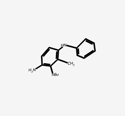 CCCCc1c(N)ccc(Nc2ccccc2)c1C